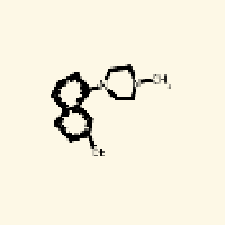 CCc1ccc2cccc(N3CCN(C)CC3)c2c1